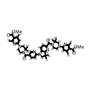 COC(=O)c1c(C)cc(N2CCN(C(=O)c3ccc(N4CC(C)(C)c5nc(C(=O)N6CCN(c7cc(C)c(C(=O)OC)c(C)n7)CC6(C)C)ccc54)nc3)C(C)(C)C2)nc1C